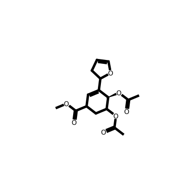 COC(=O)C1C=C(C2CC=CO2)[C@@H](OC(C)=O)C(OC(C)=O)C1